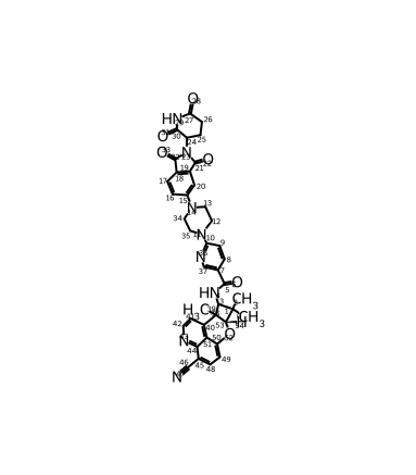 CC1(C)C(NC(=O)c2ccc(N3CCN(c4ccc5c(c4)C(=O)N(C4CCC(=O)NC4=O)C5=O)CC3)nc2)C2(C)c3ccnc4c(C#N)ccc(c34)O[C@@H]12